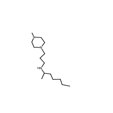 CCCCCC(C)NCCCN1CCN(C)CC1